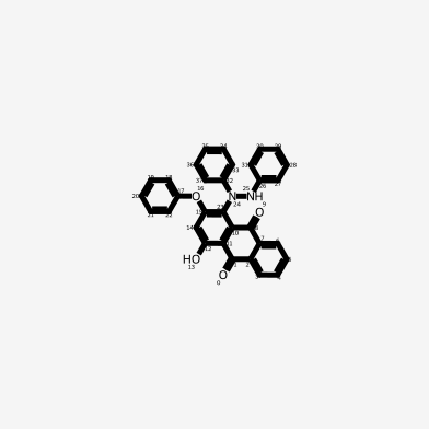 O=C1c2ccccc2C(=O)c2c1c(O)cc(Oc1ccccc1)c2N(Nc1ccccc1)c1ccccc1